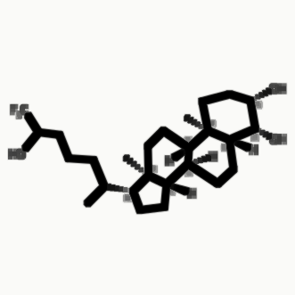 CC(CCCC(O)C(F)(F)F)[C@H]1CC[C@H]2[C@@H]3CC[C@H]4[C@@H](O)[C@@H](O)CC[C@]4(C)[C@H]3CC[C@]12C